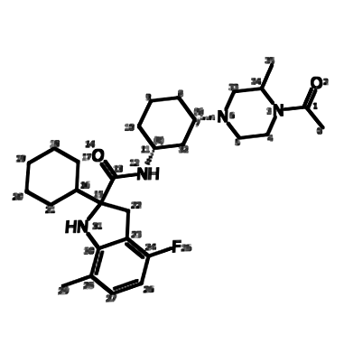 CC(=O)N1CCN([C@H]2CCC[C@@H](NC(=O)C3(C4CCCCC4)Cc4c(F)ccc(C)c4N3)C2)CC1C